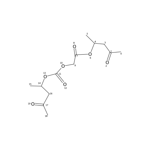 CC(=O)CC(C)OC(=O)COC(=O)OC(C)CC(C)=O